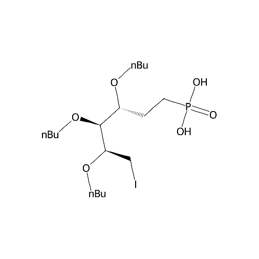 CCCCO[C@H]([C@@H](CI)OCCCC)[C@@H](CCP(=O)(O)O)OCCCC